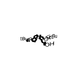 CC(C)(O)CCCC(C)(CCO[Si](C)(C)C(C)(C)C)[C@H]1CCC2[C@@H](O[Si](C)(C)C(C)(C)C)CCC[C@@]21C